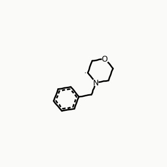 [CH]1COCCN1Cc1ccccc1